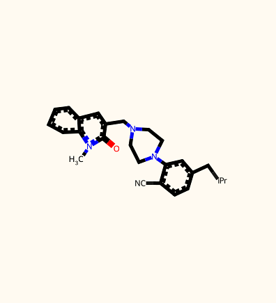 CC(C)Cc1ccc(C#N)c(N2CCN(Cc3cc4ccccc4n(C)c3=O)CC2)c1